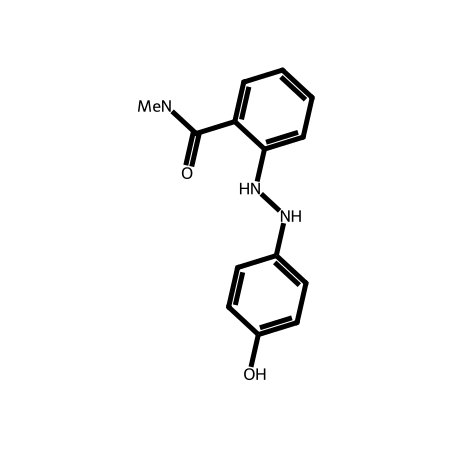 CNC(=O)c1ccccc1NNc1ccc(O)cc1